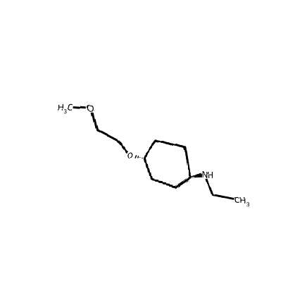 CCN[C@H]1CC[C@H](OCCOC)CC1